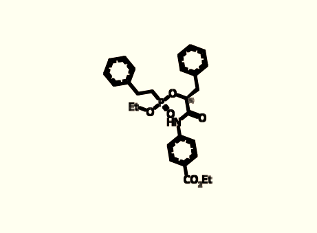 CCOC(=O)c1ccc(NC(=O)[C@H](Cc2ccccc2)OP(=O)(CCc2ccccc2)OCC)cc1